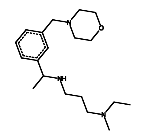 CCN(C)CCCNC(C)c1cccc(CN2CCOCC2)c1